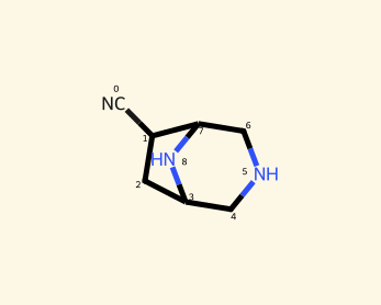 N#CC1CC2CNCC1N2